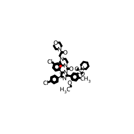 CCOc1cc(C)c(S(=O)(=O)N2CCCCC2)cc1C1=N[C@@H](c2ccc(Cl)cc2)[C@@H](c2ccc(Cl)cc2)N1C(=O)N1CCN(CC(=O)N2CCOCC2)CC1